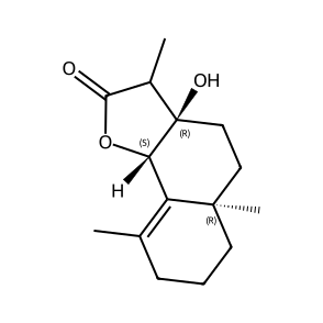 CC1=C2[C@@H]3OC(=O)C(C)[C@]3(O)CC[C@@]2(C)CCC1